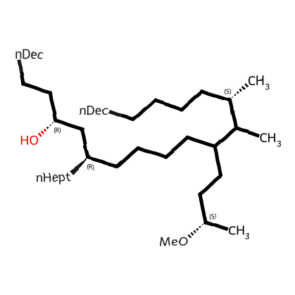 CCCCCCCCCCCCCC[C@H](C)C(C)C(CCCC[C@@H](CCCCCCC)C[C@H](O)CCCCCCCCCCCC)CC[C@H](C)OC